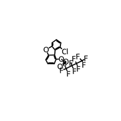 O=S(=O)(Oc1cccc2oc3cccc(Cl)c3c12)C(F)(F)C(F)(F)C(F)(F)C(F)(F)F